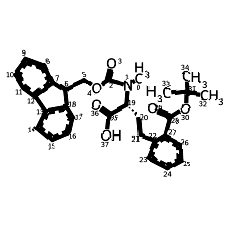 CN(C(=O)OCC1c2ccccc2-c2ccccc21)[C@H](CCc1ccccc1C(=O)OC(C)(C)C)C(=O)O